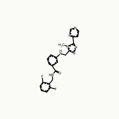 Cn1c(CNc2cccc(C(=O)NCc3c(F)cccc3F)c2)nnc1-c1ccncn1